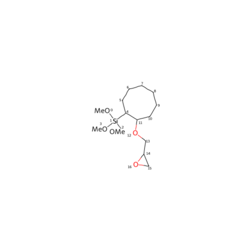 CO[Si](OC)(OC)C1CCCCCCC1OCC1CO1